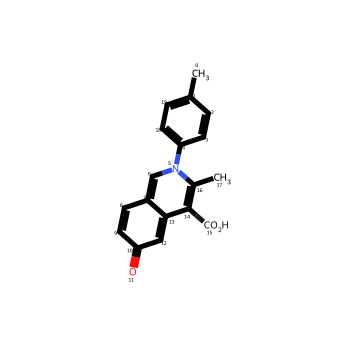 Cc1ccc(-n2cc3ccc(=O)cc-3c(C(=O)O)c2C)cc1